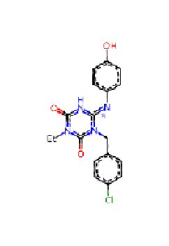 CCn1c(=O)[nH]/c(=N\c2ccc(O)cc2)n(Cc2ccc(Cl)cc2)c1=O